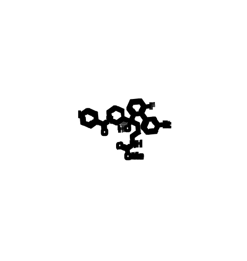 CCc1cccc(-c2c(F)cccc2[C@](O)(CCCNC(=O)OC)[C@@H]2CCCN(C(=O)c3ccncc3)C2)c1